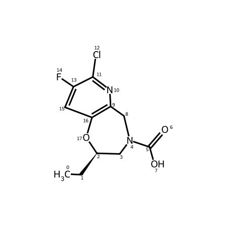 CC[C@@H]1CN(C(=O)O)Cc2nc(Cl)c(F)cc2O1